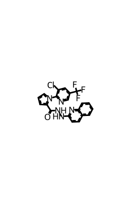 O=C(NNc1ccc2ccccc2n1)c1cccn1-c1ncc(C(F)(F)F)cc1Cl